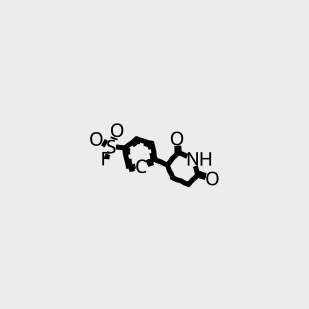 O=C1CCC(c2ccc(S(=O)(=O)F)cc2)C(=O)N1